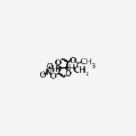 CC(C)OC1CO[C@H]2C(O[N+](=O)[O-])CO[C@@H]12